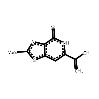 C=C(C)c1cc2sc(SC)nc2c(=O)[nH]1